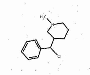 CN1CCCC(C(Cl)c2ccccc2)C1